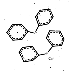 [Ca+2].c1ccc([P-]c2ccccc2)cc1.c1ccc([P-]c2ccccc2)cc1